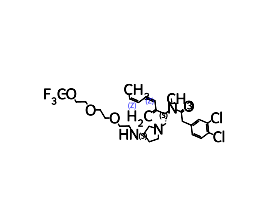 C=C(/C=C\C=C/C)[C@@H](CN1CC[C@H](NCCOCCOCCOC(F)(F)F)C1)N(C)C(=O)Cc1ccc(Cl)c(Cl)c1